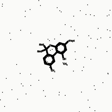 C.CCCCCCCc1cc(O)c2c(c1)OC(SC)(SC)c1ccc(C)cc1-2